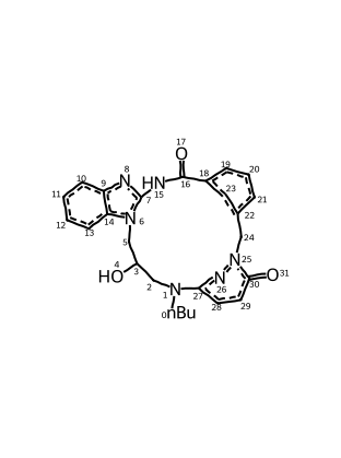 CCCCN1CC(O)Cn2c(nc3ccccc32)NC(=O)c2cccc(c2)Cn2nc1ccc2=O